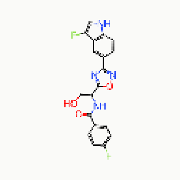 O=C(NC(CO)c1nc(-c2ccc3[nH]cc(F)c3c2)no1)c1ccc(F)cc1